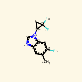 Cc1cc2ncn([C@H]3CC3(F)F)c2cc1F